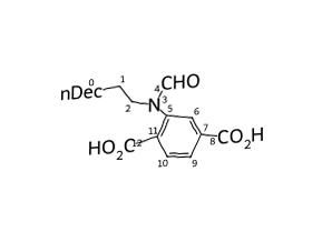 CCCCCCCCCCCCN(C=O)c1cc(C(=O)O)ccc1C(=O)O